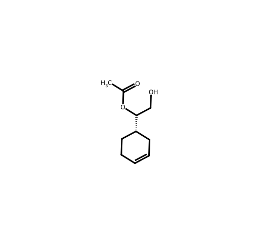 CC(=O)OC(CO)[C@@H]1CC=CCC1